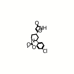 COC(=O)N1CC[C@H](c2cc(=O)[nH]o2)C[C@H]1c1ccc(Cl)cc1